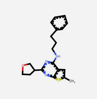 Cc1cc2c(NCCCc3ccccc3)nc(C3CCOC3)nc2s1